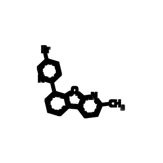 Cc1ccc2c(n1)oc1c(-c3ccc(Br)cn3)cccc12